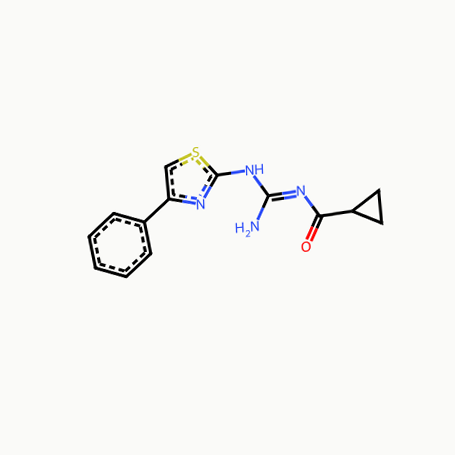 N/C(=N\C(=O)C1CC1)Nc1nc(-c2ccccc2)cs1